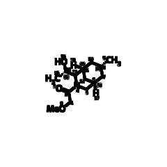 COCC(=O)N1C[C@H]2C[C@@H](C)C[C@H](C2)C1[C@H](C)O